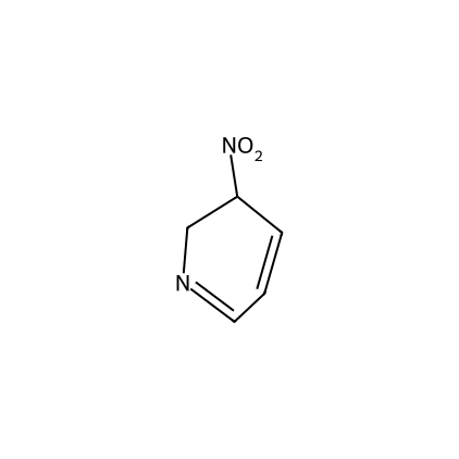 O=[N+]([O-])C1C=CC=NC1